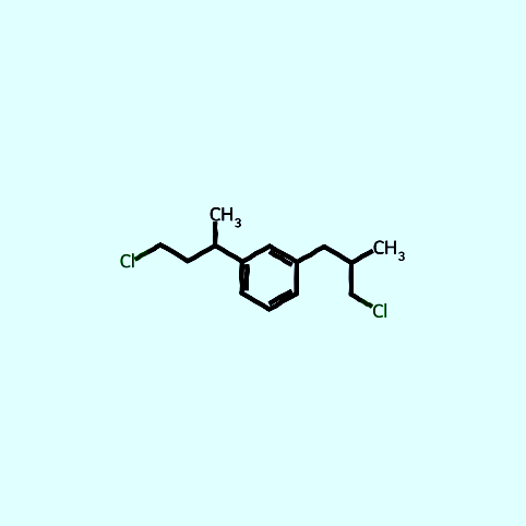 CC(CCl)Cc1cccc(C(C)CCCl)c1